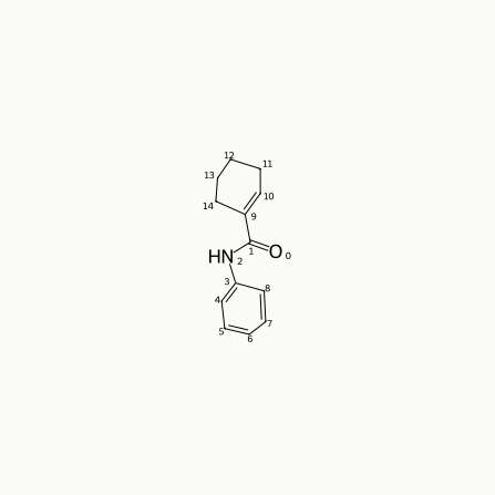 O=C(Nc1ccccc1)C1=CCCCC1